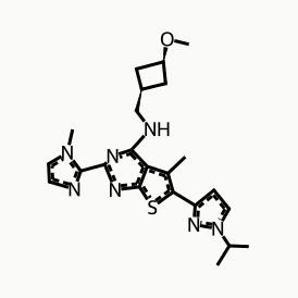 CO[C@H]1C[C@@H](CNc2nc(-c3nccn3C)nc3sc(-c4ccn(C(C)C)n4)c(C)c23)C1